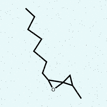 CCCCCCCC1OC12CC2C